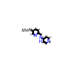 CNc1ccc(CNc2ccncc2)nc1